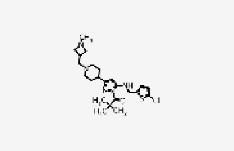 CN1CC(CN2CCC(c3cc(NCc4ccc(Cl)s4)n(C(=O)C(C)(C)C)n3)CC2)C1